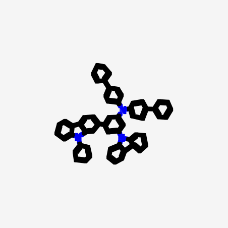 c1ccc(-c2ccc(N(c3ccc(-c4ccccc4)cc3)c3cc(-c4ccc5c6ccccc6n(-c6ccccc6)c5c4)cc(-n4c5ccccc5c5ccccc54)c3)cc2)cc1